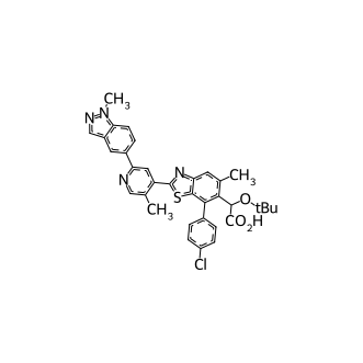 Cc1cnc(-c2ccc3c(cnn3C)c2)cc1-c1nc2cc(C)c(C(OC(C)(C)C)C(=O)O)c(-c3ccc(Cl)cc3)c2s1